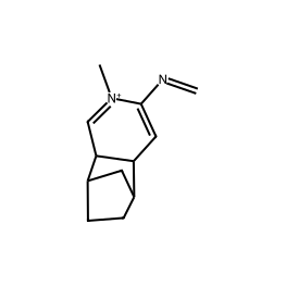 C=NC1=CC2C3CCC(C3)C2C=[N+]1C